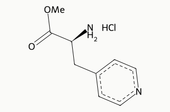 COC(=O)[C@@H](N)Cc1ccncc1.Cl